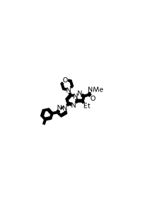 CCc1c(C(=O)NC)nn2c(N3CCOCC3)cc(-n3ccc(-c4cccc(C)c4)n3)nc12